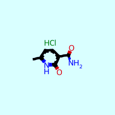 Cc1ccc(C(N)=O)c(=O)[nH]1.Cl